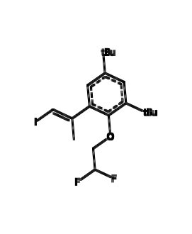 C/C(=C\I)c1cc(C(C)(C)C)cc(C(C)(C)C)c1OCC(F)F